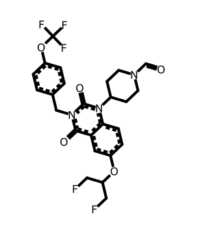 O=CN1CCC(n2c(=O)n(Cc3ccc(OC(F)(F)F)cc3)c(=O)c3cc(OC(CF)CF)ccc32)CC1